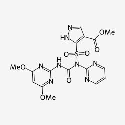 COC(=O)c1cn[nH]c1S(=O)(=O)N(C(=O)Nc1nc(OC)cc(OC)n1)c1ncccn1